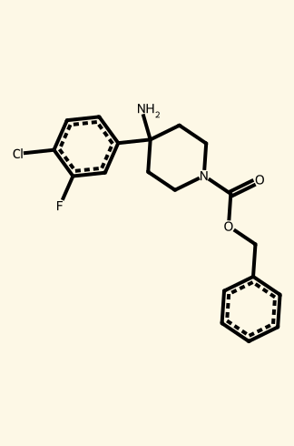 NC1(c2ccc(Cl)c(F)c2)CCN(C(=O)OCc2ccccc2)CC1